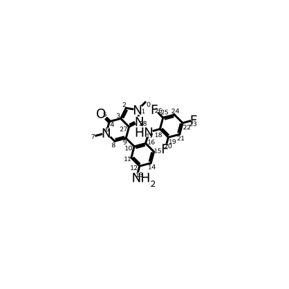 Cn1cc2c(=O)n(C)cc(-c3cc(N)ccc3Nc3c(F)cc(F)cc3F)c2n1